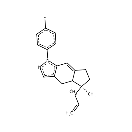 C=CC[C@]1(C)CCC2=Cc3c(cnn3-c3ccc(F)cc3)C[C@@]21C